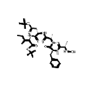 CCC(C)[C@H](NC(=O)[C@H](CC(=O)OC(C)(C)C)NC(=O)[C@H](C)NC(=O)[C@H](Cc1ccccc1)NC(=O)[C@H](C)NO)C(=O)OC(C)(C)C